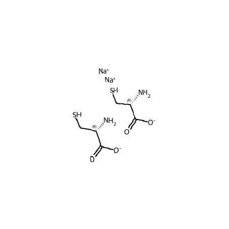 N[C@@H](CS)C(=O)[O-].N[C@@H](CS)C(=O)[O-].[Na+].[Na+]